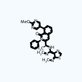 C=N/C(N[C@@H](C)c1cc2cccc(-c3cnc(OC)nc3)c2c(=O)n1-c1ccccc1)=C1/N=CS/C1=N/C